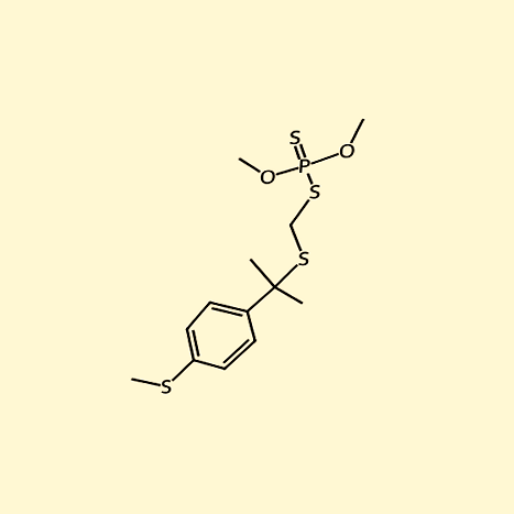 COP(=S)(OC)SCSC(C)(C)c1ccc(SC)cc1